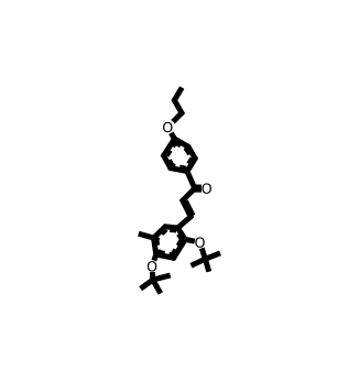 CCCOc1ccc(C(=O)C=Cc2cc(C)c(OC(C)(C)C)cc2OC(C)(C)C)cc1